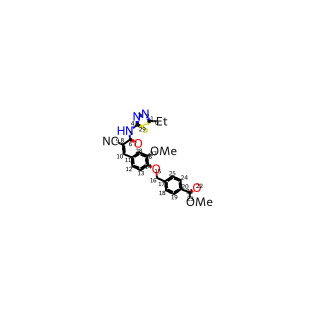 CCc1nnc(NC(=O)C(C#N)=Cc2ccc(OCc3ccc(C(=O)OC)cc3)c(OC)c2)s1